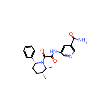 C[C@@H]1CC[C@H](c2ccccc2)N(C(=O)C(=O)Nc2cncc(C(N)=O)c2)[C@@H]1C